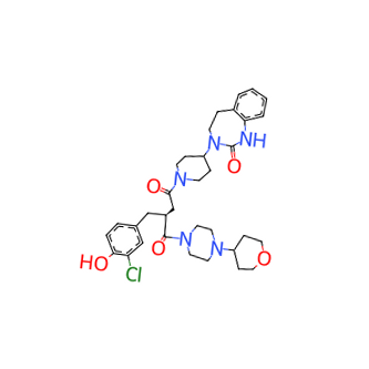 O=C(C[C@H](Cc1ccc(O)c(Cl)c1)C(=O)N1CCN(C2CCOCC2)CC1)N1CCC(N2CCc3ccccc3NC2=O)CC1